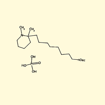 CCCCCCCCCCCCCCCCCCC1(C)CCCCN1C.O=P(O)(O)O